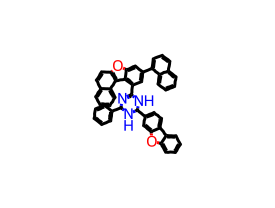 c1ccc(C2N=C(c3cc(-c4cccc5ccccc45)cc4oc5ccc6ccccc6c5c34)NC(c3ccc4c(c3)oc3ccccc34)N2)cc1